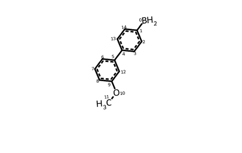 Bc1ccc(-c2cccc(OC)c2)cc1